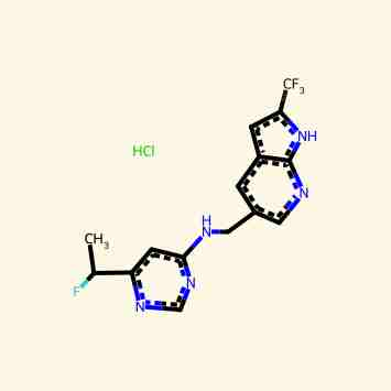 CC(F)c1cc(NCc2cnc3[nH]c(C(F)(F)F)cc3c2)ncn1.Cl